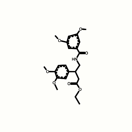 CCOC(=O)CC(CNC(=O)c1cc(OC)cc(OC)c1)c1ccc(OC)c(OC)c1